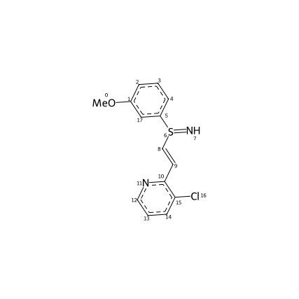 COc1cccc(S(=N)/C=C/c2ncccc2Cl)c1